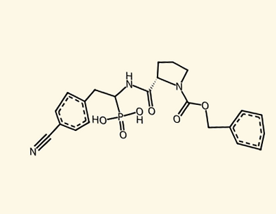 N#Cc1ccc(CC(NC(=O)[C@@H]2CCCN2C(=O)OCc2ccccc2)P(=O)(O)O)cc1